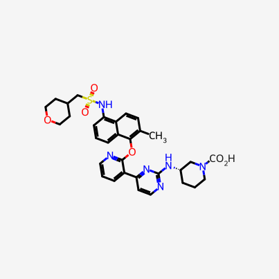 Cc1ccc2c(NS(=O)(=O)CC3CCOCC3)cccc2c1Oc1ncccc1-c1ccnc(N[C@H]2CCCN(C(=O)O)C2)n1